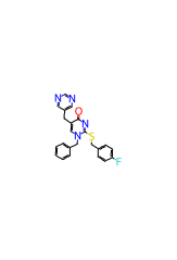 O=c1nc(SCc2ccc(F)cc2)n(Cc2ccccc2)cc1Cc1cncnc1